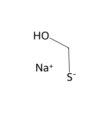 OC[S-].[Na+]